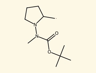 [CH2]C1CCCN1N(C)C(=O)OC(C)(C)C